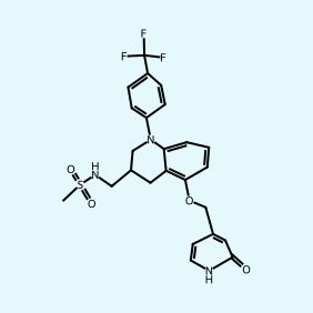 CS(=O)(=O)NCC1Cc2c(OCc3cc[nH]c(=O)c3)cccc2N(c2ccc(C(F)(F)F)cc2)C1